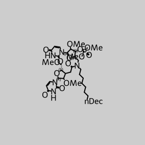 CCCCCCCCCCCCCCCCCN(C[C@H]1O[C@@H](n2ccc(=O)[nH]c2=O)C(OC)[C@H]1OP(=O)(OC)OC)C(=O)CC1C(OC)[C@H](n2ccc(=O)[nH]c2=O)O[C@@H]1COC